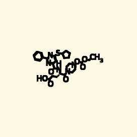 CCOC(=O)ON1CCN(C(=O)[C@H](CCC(=O)O)NC(=O)c2cc(SC3CCCC3)nc(-c3ccccc3)n2)CC1